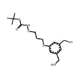 CC(C)(C)OC(=O)NOCCCOc1cc(CO)cc(CO)c1